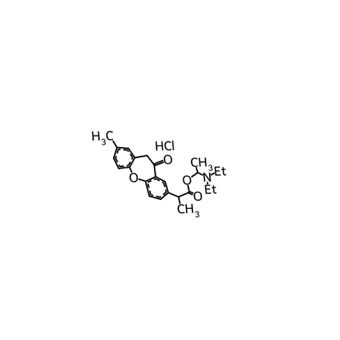 CCN(CC)C(C)OC(=O)C(C)c1ccc2c(c1)C(=O)Cc1cc(C)ccc1O2.Cl